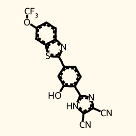 N#Cc1nc(-c2ccc(-c3nc4ccc(OC(F)(F)F)cc4s3)cc2O)[nH]c1C#N